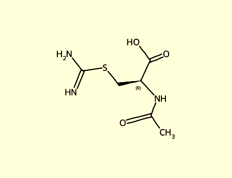 CC(=O)N[C@@H](CSC(=N)N)C(=O)O